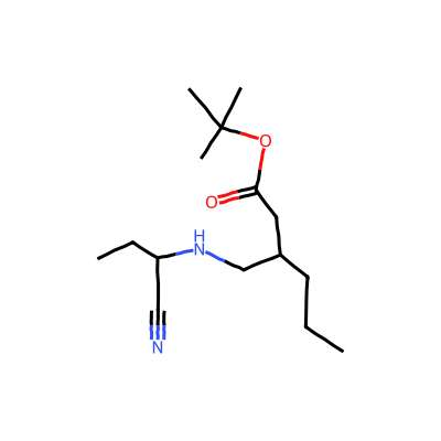 CCCC(CNC(C#N)CC)CC(=O)OC(C)(C)C